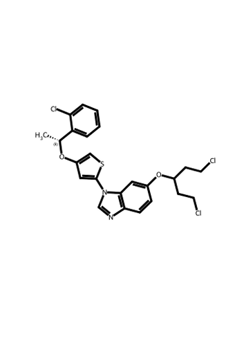 C[C@@H](Oc1csc(-n2cnc3ccc(OC(CCCl)CCCl)cc32)c1)c1ccccc1Cl